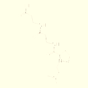 CN(C)CCN1CCCC1C(=O)NCCC(=O)NCCC(=O)O